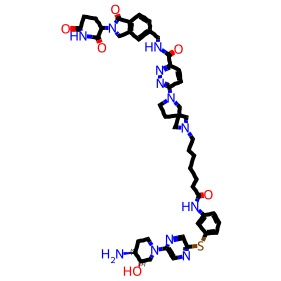 N[C@H]1CCN(c2cnc(Sc3cccc(NC(=O)CCCCCCN4CC5(CCN(c6ccc(C(=O)NCc7ccc8c(c7)CN(C7CCC(=O)NC7=O)C8=O)nn6)C5)C4)c3)cn2)C[C@@H]1O